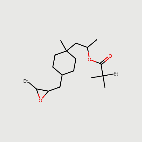 CCC1OC1CC1CCC(C)(CC(C)OC(=O)C(C)(C)CC)CC1